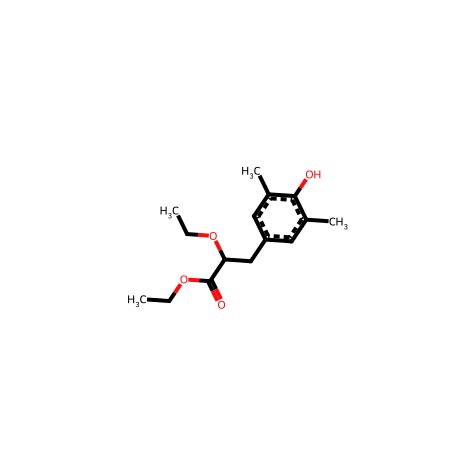 CCOC(=O)C(Cc1cc(C)c(O)c(C)c1)OCC